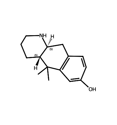 CC1(C)c2cc(O)ccc2C[C@@H]2NCCC[C@H]21